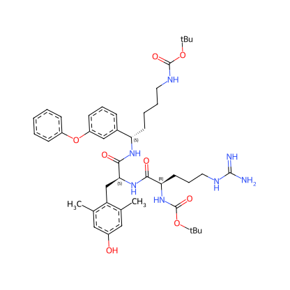 Cc1cc(O)cc(C)c1C[C@H](NC(=O)[C@@H](CCCNC(=N)N)NC(=O)OC(C)(C)C)C(=O)N[C@@H](CCCCNC(=O)OC(C)(C)C)c1cccc(Oc2ccccc2)c1